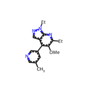 CCc1nc2c(cnn2CC)c(-c2cncc(C)c2)c1OC